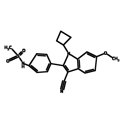 COc1ccc2c(C#N)c(-c3ccc(NS(C)(=O)=O)cc3)n(C3CCC3)c2c1